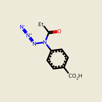 CCC(=O)N(N=[N+]=[N-])c1ccc(C(=O)O)cc1